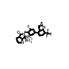 BC1(B)c2ncccc2C(=O)N1Cc1c(F)cc(-c2ccc(C(F)(F)F)c3nn(C)cc23)cc1F